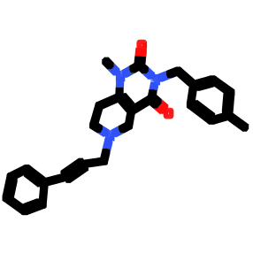 Cc1ccc(Cn2c(=O)c3c(n(C)c2=O)CCN(CC#Cc2ccccc2)C3)cc1